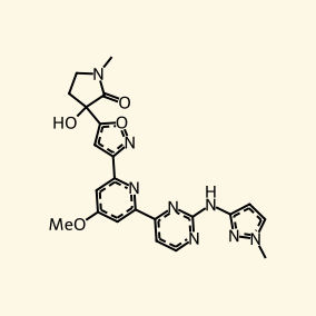 COc1cc(-c2cc(C3(O)CCN(C)C3=O)on2)nc(-c2ccnc(Nc3ccn(C)n3)n2)c1